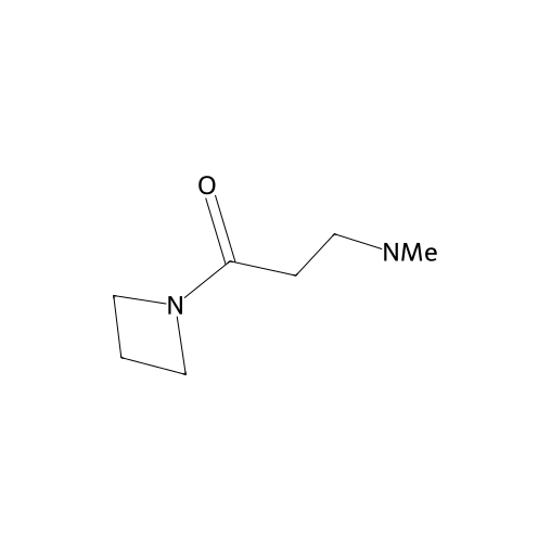 CNCCC(=O)N1CCC1